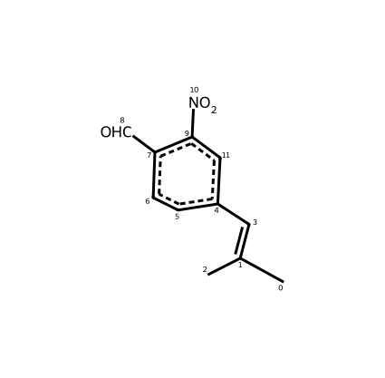 CC(C)=Cc1ccc(C=O)c([N+](=O)[O-])c1